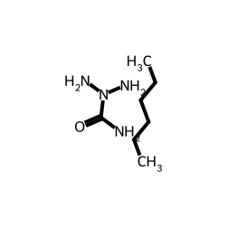 CCCCCC.NC(=O)N(N)N